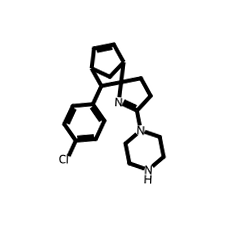 Clc1ccc(C2C3C=CC(C3)C23CCC(N2CCNCC2)=N3)cc1